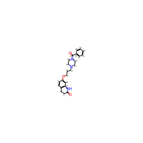 O=C1CCc2ccc(OCCCN3CCN(C(=O)c4ccccc4)CC3)cc2N1